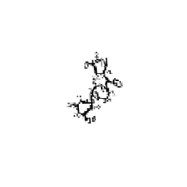 Cc1[c]ncc(C(=O)N2CCN(c3cc(C)cc(C)c3)CC2)c1